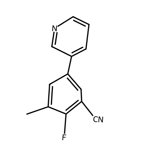 Cc1cc(-c2cccnc2)cc(C#N)c1F